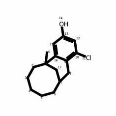 CC12CCCCCC(Cc3c(Cl)cc(O)cc31)C2